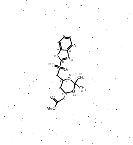 COC(=O)C[C@@H]1CC(CS(=O)(=O)c2nc3ccccc3s2)OC(C)(C)O1